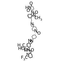 Cn1c(=O)n(C2CCC(=O)NC2=O)c2cccc(CCN3CC4(CCN(C(=O)[C@H]5CC[C@H](n6cc7cc(NC(=O)c8cccc(C(F)(F)F)n8)c(C(C)(C)O)cc7n6)CC5)CC4)C3)c21